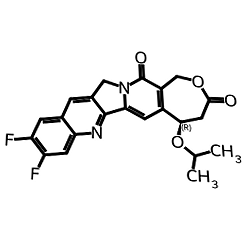 CC(C)O[C@@H]1CC(=O)OCc2c1cc1n(c2=O)Cc2cc3cc(F)c(F)cc3nc2-1